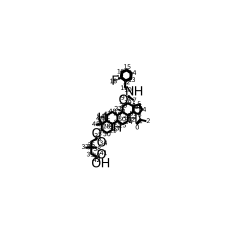 C=C(C)[C@@H]1CC[C@]2(CC(=O)NCc3ccccc3F)CC[C@]3(C)[C@H](CC[C@@H]4[C@@]5(C)CC[C@H](OC(=O)CC(C)(C)CC(=O)O)C(C)(C)[C@@H]5CC[C@]43C)[C@@H]12